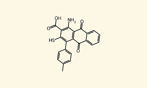 Cc1ccc(-c2c(S)c(C(=O)O)c(N)c3c2C(=O)c2ccccc2C3=O)cc1